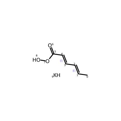 C/C=C/C=C/C(=O)OO.[KH]